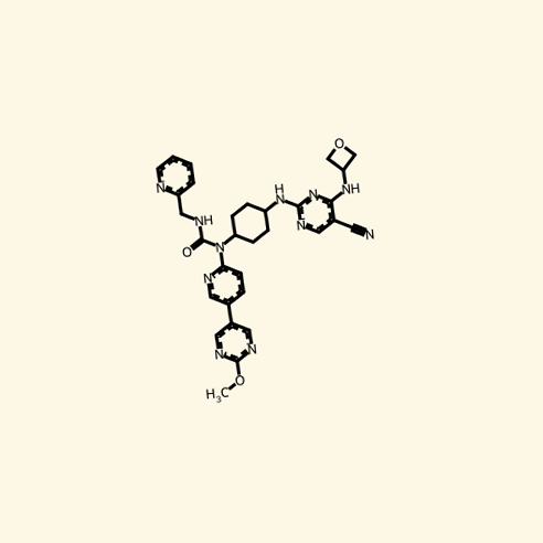 COc1ncc(-c2ccc(N(C(=O)NCc3ccccn3)C3CCC(Nc4ncc(C#N)c(NC5COC5)n4)CC3)nc2)cn1